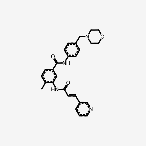 Cc1ccc(C(=O)Nc2ccc(CN3CCOCC3)cc2)cc1NC(=O)C=Cc1cccnc1